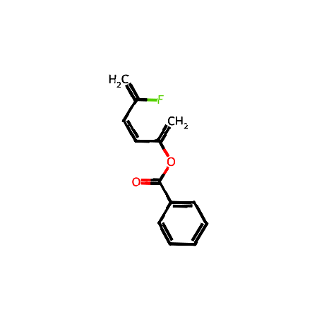 C=C(F)/C=C\C(=C)OC(=O)c1ccccc1